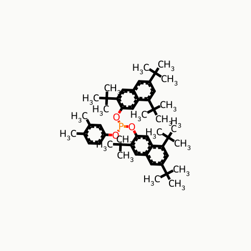 Cc1ccc(OP(Oc2cc3c(C(C)(C)C)cc(C(C)(C)C)cc3cc2C(C)(C)C)Oc2cc3c(C(C)(C)C)cc(C(C)(C)C)cc3cc2C(C)(C)C)cc1C